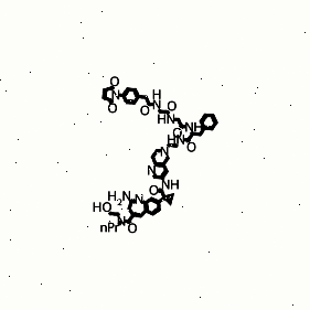 CCCN(CCO)C(=O)C1=Cc2ccc(C3(C(=O)Nc4cnc5c(c4)CN(CCNC(=O)C(Cc4ccccc4)NC(=O)CNC(=O)CNC(=O)Cc4ccc(N6C(=O)C=CC6=O)cc4)CC5)CC3)cc2N=C(N)C1